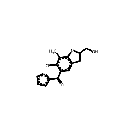 Cc1c(Cl)c(C(=O)c2cccs2)cc2c1OC(CO)C2